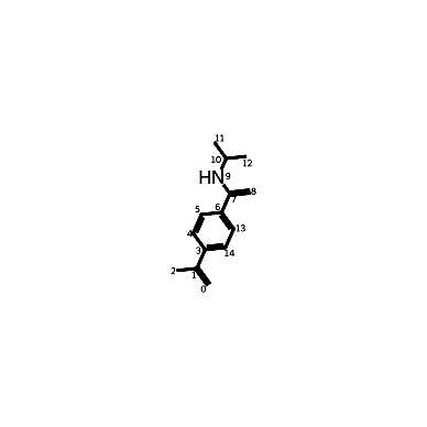 C=C(C)c1ccc(C(=C)NC(C)C)cc1